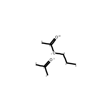 CC(C)=O.CCCOC(C)=O